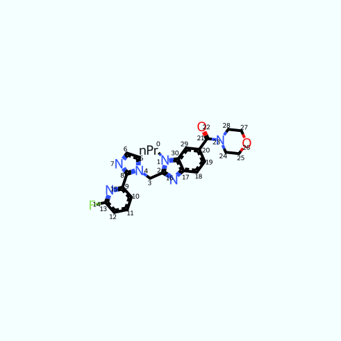 CCCn1c(Cn2ccnc2-c2cccc(F)n2)nc2ccc(C(=O)N3CCOCC3)cc21